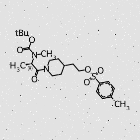 Cc1ccc(S(=O)(=O)OCCC2CCN(C(=O)[C@@H](C)N(C)C(=O)OC(C)(C)C)CC2)cc1